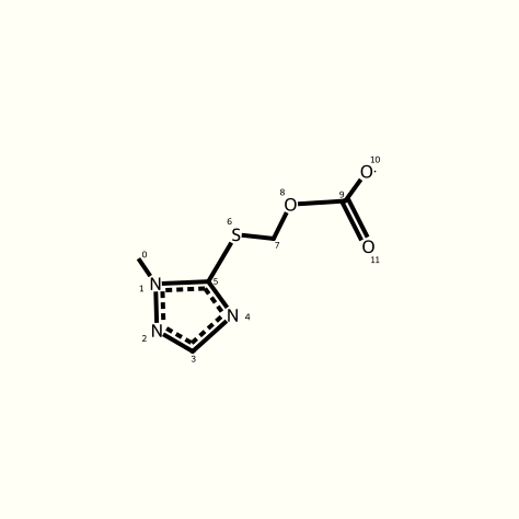 Cn1ncnc1SCOC([O])=O